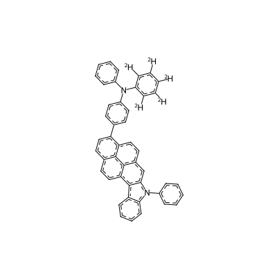 [2H]c1c([2H])c([2H])c(N(c2ccccc2)c2ccc(-c3ccc4ccc5c6c(ccc3c46)cc3c5c4ccccc4n3-c3ccccc3)cc2)c([2H])c1[2H]